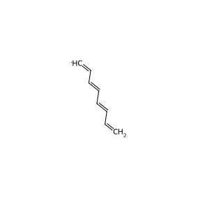 [CH]=CC=CC=CC=C